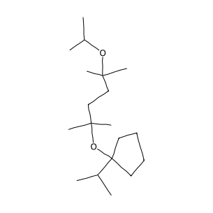 CC(C)OC(C)(C)CCC(C)(C)OC1(C(C)C)CCCC1